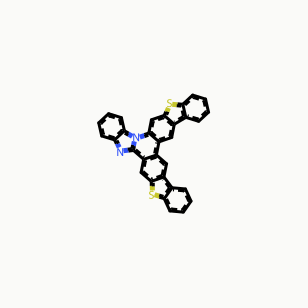 c1ccc2c(c1)nc1c3cc4sc5ccccc5c4cc3c3cc4c(cc3n21)sc1ccccc14